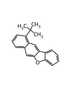 CC(C)(C)c1cccc2cc3oc4ccccc4c3cc12